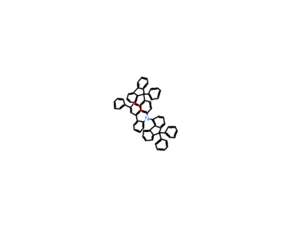 c1ccc(-c2cccc(-c3ccccc3N(c3ccc(C4(c5ccccc5)c5ccccc5-c5ccccc54)cc3)c3cccc4c3-c3ccccc3C4(c3ccccc3)c3ccccc3)c2)cc1